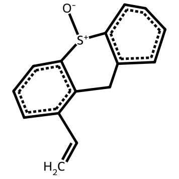 C=Cc1cccc2c1Cc1ccccc1[S+]2[O-]